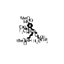 CCOC(Nc1cc(NC(=O)OC)ccc1-c1cn(COCC[Si](C)(C)C)c(CCC=CNC(=O)OC(C)(C)C)n1)C(F)(F)F